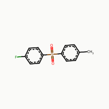 Cc1ccc(S(=O)(=O)c2ccc(F)cc2)cc1